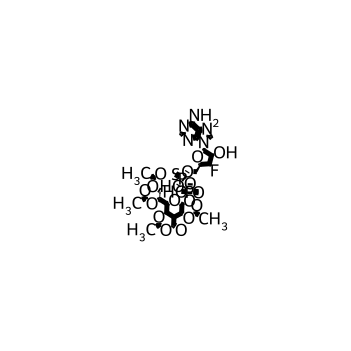 CC(=O)OC[C@@H](OC(C)=O)C1O[C@@H](OP(=O)(O)OP(O)(=S)OC[C@H]2O[C@@H](n3cnc4c(N)ncnc43)[C@@H](O)[C@H]2F)C(OC(C)=O)C(C=O)[C@@H]1OC(C)=O